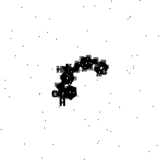 O=C1Nc2ccccc2[C@]12CC2c1ccc2c(/C=C/c3ccc(CN4CCOCC4)cc3)n[nH]c2c1